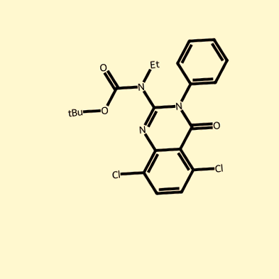 CCN(C(=O)OC(C)(C)C)c1nc2c(Cl)ccc(Cl)c2c(=O)n1-c1ccccc1